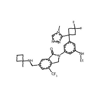 CCNc1cc(N2Cc3c(cc(CNC4(C)CCC4)cc3C(F)(F)F)C2=O)cc(C2(c3nncn3C)CC(F)(F)C2)c1